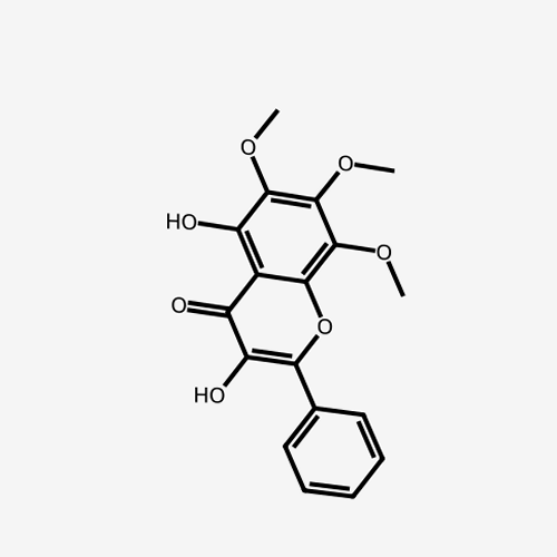 COc1c(OC)c(O)c2c(=O)c(O)c(-c3ccccc3)oc2c1OC